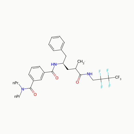 [CH2]C(C[C@H](Cc1ccccc1)NC(=O)c1cccc(C(=O)N(CCC)CCC)c1)C(=O)NCC(F)(F)C(F)(F)C(F)(F)F